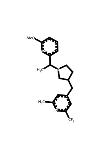 COc1cccc(C(C)N2CCC(Cc3cc(C)nc(C(F)(F)F)c3)C2)n1